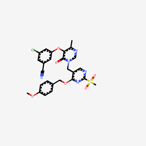 COc1ccc(COc2nc(S(C)(=O)=O)ncc2Cn2cnc(C)c(Oc3cc(Cl)cc(C#N)c3)c2=O)cc1